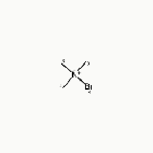 C[N+](C)(C)Br